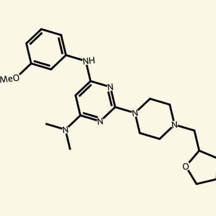 COc1cccc(Nc2cc(N(C)C)nc(N3CCN(CC4CCCO4)CC3)n2)c1